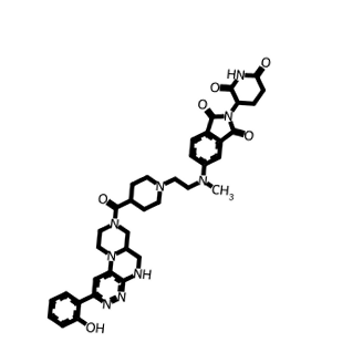 CN(CCN1CCC(C(=O)N2CCN3c4cc(-c5ccccc5O)nnc4NCC3C2)CC1)c1ccc2c(c1)C(=O)N(C1CCC(=O)NC1=O)C2=O